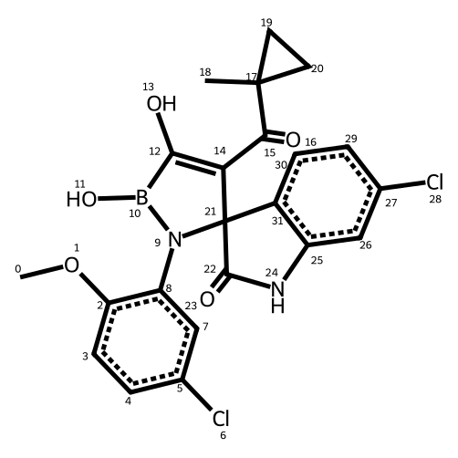 COc1ccc(Cl)cc1N1B(O)C(O)=C(C(=O)C2(C)CC2)C12C(=O)Nc1cc(Cl)ccc12